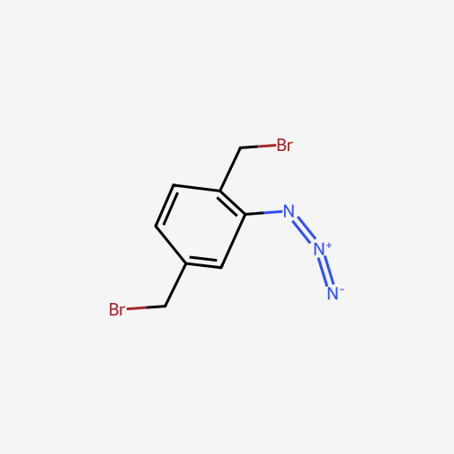 [N-]=[N+]=Nc1cc(CBr)ccc1CBr